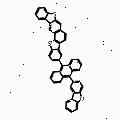 c1ccc2c(c1)oc1ccc(-c3c4ccccc4c(-c4ccc5sc6c7cc8c(cc7ccc6c5c4)sc4ccccc48)c4ccccc34)cc12